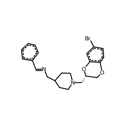 Brc1ccc2c(c1)O[C@@H](CN1CCC(C/N=C/c3ccccc3)CC1)CO2